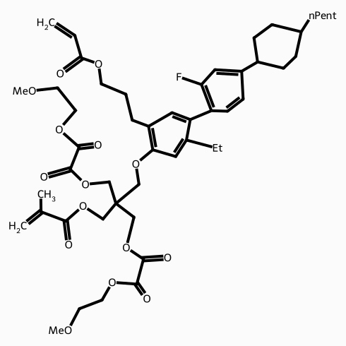 C=CC(=O)OCCCc1cc(-c2ccc(C3CCC(CCCCC)CC3)cc2F)c(CC)cc1OCC(COC(=O)C(=C)C)(COC(=O)C(=O)OCCOC)COC(=O)C(=O)OCCOC